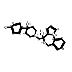 CC1(CN2CCC(O)(c3ccc(Cl)cc3)CC2)OCc2ccccc2-n2cccc21